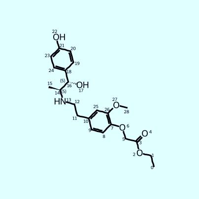 CCOC(=O)COc1ccc(CCN[C@@H](C)[C@@H](O)c2ccc(O)cc2)cc1OC